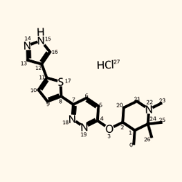 CC1C(Oc2ccc(-c3ccc(-c4cn[nH]c4)s3)nn2)CCN(C)C1(C)C.Cl